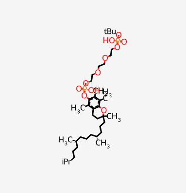 Cc1c(C)c2c(c(C)c1OP(=O)(O)OCCOCCOCCOP(=O)(O)OC(C)(C)C)CCC(C)(CCC[C@H](C)CCC[C@H](C)CCCC(C)C)O2